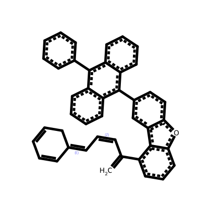 C=C(/C=C\C=C1\C=CC=CC1)c1cccc2oc3ccc(-c4c5ccccc5c(-c5ccccc5)c5ccccc45)cc3c12